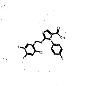 O=C(O)c1cnc(SCc2cc(F)c(F)cc2Cl)n1-c1ccc(F)cc1